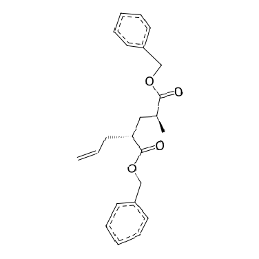 C=CC[C@H](C[C@H](C)C(=O)OCc1ccccc1)C(=O)OCc1ccccc1